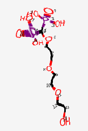 O=P(O)(O)C(OCCOCCOCCO)P(=O)(O)O